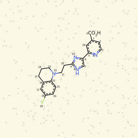 O=C(O)c1ccnc(-c2c[nH]c(CCN3CCCc4cc(F)ccc43)n2)c1